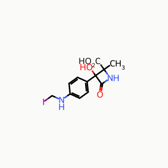 CC1(C(=O)O)NC(=O)C1(O)c1ccc(NCI)cc1